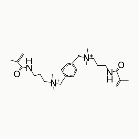 C=C(C)C(=O)NCCC[N+](C)(C)Cc1ccc(C[N+](C)(C)CCCNC(=O)C(=C)C)cc1